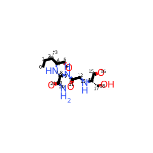 CC[C@H](C)[C@@H](C=O)N[C@H](NC(=O)CN[C@H](C=O)CO)C(N)=O